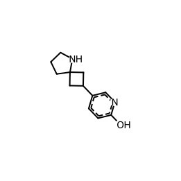 Oc1ccc(C2CC3(CCCN3)C2)cn1